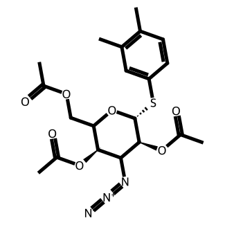 CC(=O)OCC1O[C@H](Sc2ccc(C)c(C)c2)[C@@H](OC(C)=O)C(N=[N+]=[N-])[C@H]1OC(C)=O